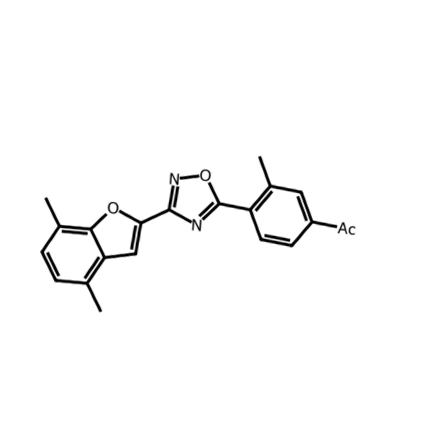 CC(=O)c1ccc(-c2nc(-c3cc4c(C)ccc(C)c4o3)no2)c(C)c1